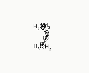 C=C(C)C(=O)OCCC1CCC(OCOc2ccc(OC(=O)C3CCC(CCOC(=O)C(=C)C)CC3)cc2)CC1